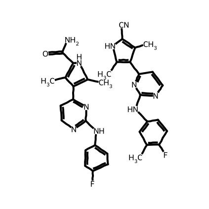 Cc1[nH]c(C(N)=O)c(C)c1-c1ccnc(Nc2ccc(F)cc2)n1.Cc1cc(Nc2nccc(-c3c(C)[nH]c(C#N)c3C)n2)ccc1F